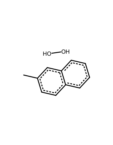 Cc1ccc2ccccc2c1.OO